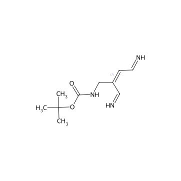 CC(C)(C)OC(=O)NC/C(C=N)=C/C=N